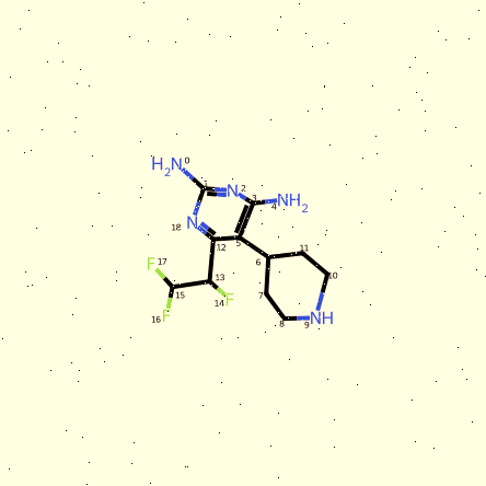 Nc1nc(N)c(C2CCNCC2)c(C(F)C(F)F)n1